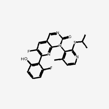 Cc1ccnc(SC(C)C)c1-n1c(=O)ncc2cc(F)c(-c3c(O)cccc3F)nc21